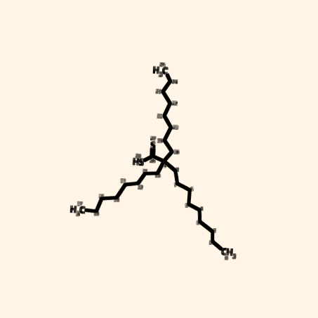 CCCCCCCCCC(CCCCCCCC)(CCCCCCCC)C(=S)S